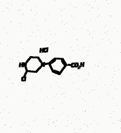 Cl.O=C(O)c1ccc(N2CCNC(Cl)C2)cc1